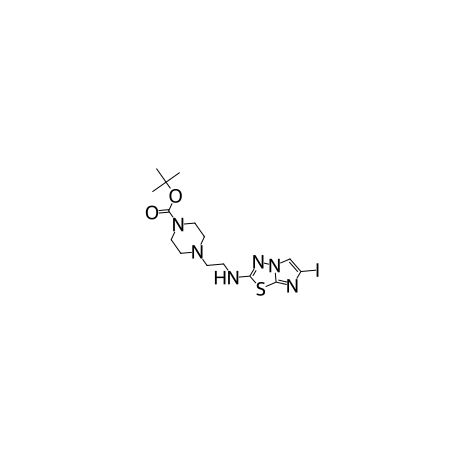 CC(C)(C)OC(=O)N1CCN(CCNc2nn3cc(I)nc3s2)CC1